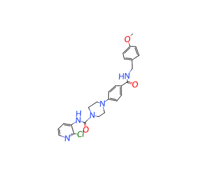 COc1ccc(CNC(=O)c2ccc(N3CCN(C(=O)Nc4cccnc4Cl)CC3)cc2)cc1